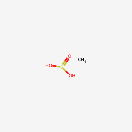 C.O=S(O)O